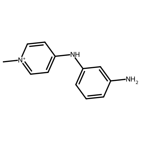 C[n+]1ccc(Nc2cccc(N)c2)cc1